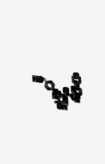 CC(C)(O)c1nn([C@H]2CC[C@H](CO)CC2)cc1NC(=O)c1cnn2ccc(N3CCOCC3)nc12